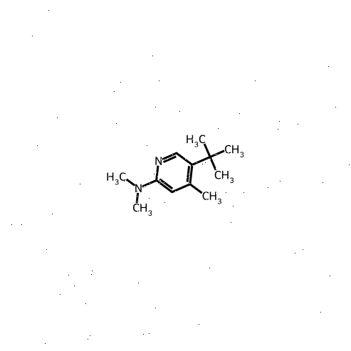 Cc1cc(N(C)C)ncc1C(C)(C)C